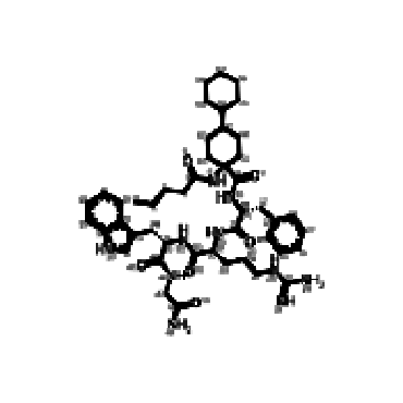 CCCCC(=O)N[C@]1(C(=O)N[C@H](Cc2ccccc2)C(=O)N[C@@H](CCCNC(=N)N)C(=O)N[C@@H](Cc2c[nH]c3ccccc23)C(=O)NCC(N)=O)CC[C@H](C2CCCCC2)CC1